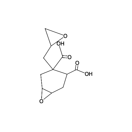 O=C(O)C1CC2OC2CC1(CC1CO1)C(=O)O